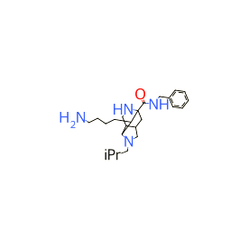 CC(C)CN1CC2CC3(C(=O)NCc4ccccc4)NCC2C1C3CCCCN